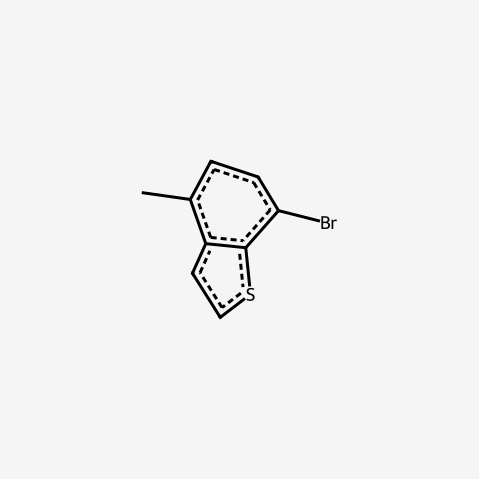 Cc1ccc(Br)c2sccc12